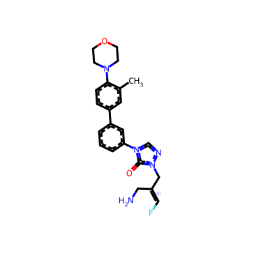 Cc1cc(-c2cccc(-n3cnn(C/C(=C/F)CN)c3=O)c2)ccc1N1CCOCC1